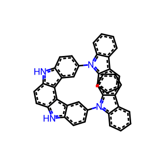 c1ccc2c(c1)c1ccccc1n2-c1ccc2[nH]c3ccc4[nH]c5ccc(-n6c7ccccc7c7ccccc76)cc5c4c3c2c1